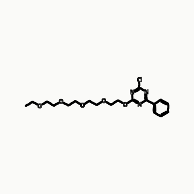 CCOCCOCCOCCOCCOc1nc(Cl)nc(-c2ccccc2)n1